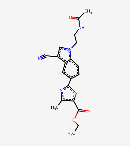 CCOC(=O)c1sc(-c2ccc3c(c2)c(C#N)cn3CCNC(C)=O)nc1C